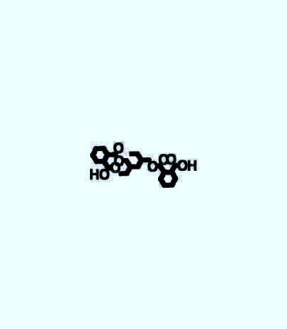 CCC(COC(=O)C1CCCCC1C(=O)O)CC(CC)COC(=O)C1CCCCC1C(=O)O